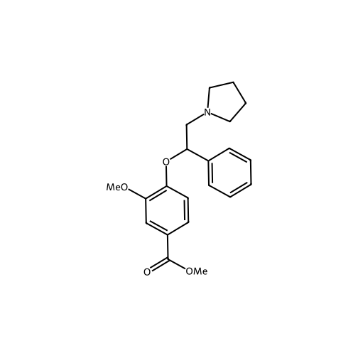 COC(=O)c1ccc(OC(CN2CCCC2)c2ccccc2)c(OC)c1